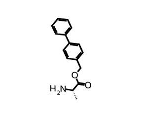 C[C@H](N)C(=O)OCc1ccc(-c2ccccc2)cc1